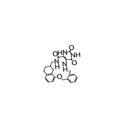 Nc1c(C(=O)NCC2CCc3cccc(OCc4ccccc4)c3C2)[nH]c(=O)[nH]c1=O